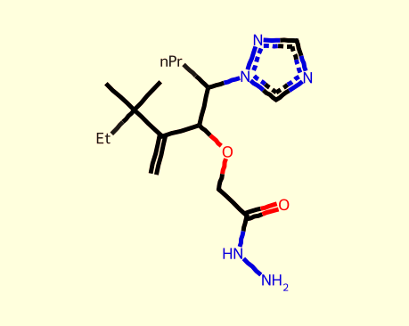 C=C(C(OCC(=O)NN)C(CCC)n1cncn1)C(C)(C)CC